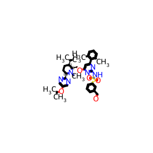 Cc1cccc(C)c1-c1cc(OC[C@@H]2[C@H](C(C)C)CC[C@H](c3ncc(OC(C)C)cn3)N2C)nc(NS(=O)(=O)c2cccc(C=O)c2)n1